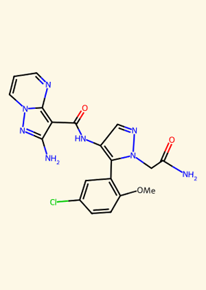 COc1ccc(Cl)cc1-c1c(NC(=O)c2c(N)nn3cccnc23)cnn1CC(N)=O